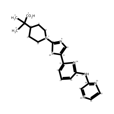 CC(C)(C(=O)O)C1CCN(c2ncc(-c3cccc(Nc4cnccn4)n3)s2)CC1